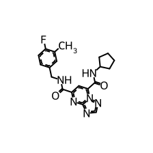 Cc1cc(CNC(=O)c2cc(C(=O)NC3CCCC3)n3ncnc3n2)ccc1F